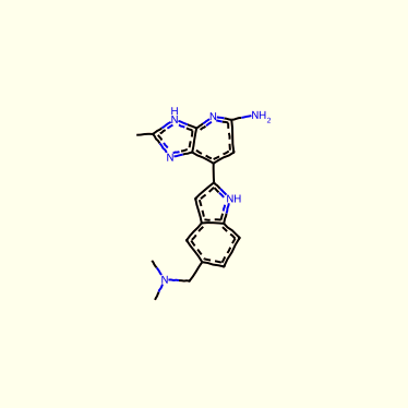 Cc1nc2c(-c3cc4cc(CN(C)C)ccc4[nH]3)cc(N)nc2[nH]1